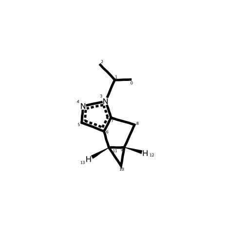 CC(C)n1ncc2c1C[C@@H]1C[C@H]21